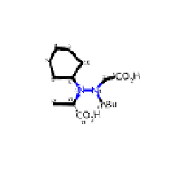 CCCCN(CC(=O)O)N(C1CCCCC1)[C@@H](C)C(=O)O